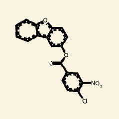 O=C(Oc1ccc2oc3ccccc3c2c1)c1ccc(Cl)c([N+](=O)[O-])c1